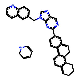 C1=CCNC=C1.C1=c2ccc3c(c2CCC1)CC=c1cc(-c2ncc4ncn(Cc5ccc6ncccc6c5)c4n2)ccc1=3